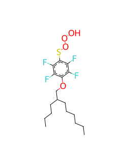 CCCCCCC(CCCC)COc1c(F)c(F)c(SOOO)c(F)c1F